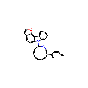 C=C/C=C\C(=C)c1ccccccc(-n2c3ccccc3c3c4occc4ccc32)nc1